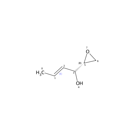 C/C=C/C(O)[C@H]1CO1